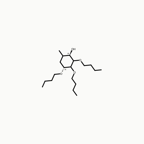 CCCCOC1C(OCCCC)[C@H](OCCCC)CC(C)[C@H]1O